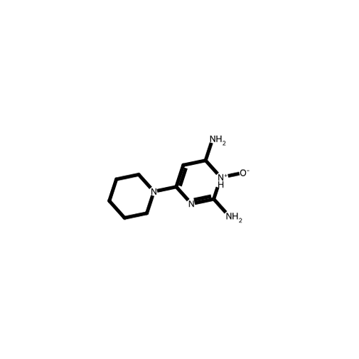 NC1=NC(N2CCCCC2)=CC(N)[NH+]1[O-]